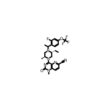 CC[C@@H]1CN(c2nc(=O)n(C)c3ccc(C#N)nc23)[C@@H](C)CN1C(C)c1ccc(OC(F)(F)F)cc1F